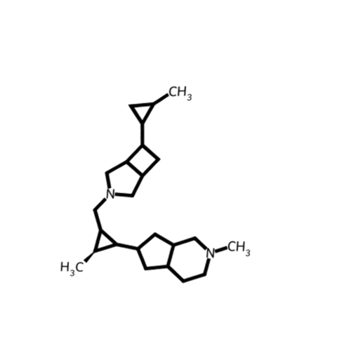 CC1CC1C1CC2CN(CC3C(C4CC5CCN(C)CC5C4)[C@H]3C)CC21